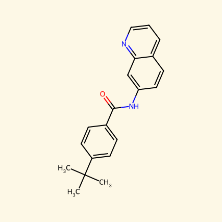 CC(C)(C)c1ccc(C(=O)Nc2ccc3cccnc3c2)cc1